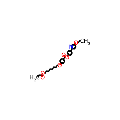 C=CC(=O)OCCCCCCCCOc1ccc(C(=O)Oc2ccc(-c3ccc(OCCC)cn3)cc2)cc1